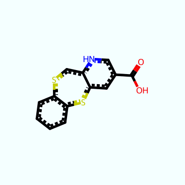 O=C(O)c1c[nH]c2csc3ccccc3sc-2c1